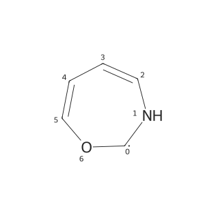 [CH]1NC=CC=CO1